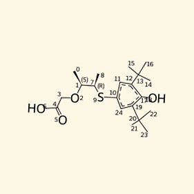 C[C@H](OCC(=O)O)[C@@H](C)Sc1cc(C(C)(C)C)c(O)c(C(C)(C)C)c1